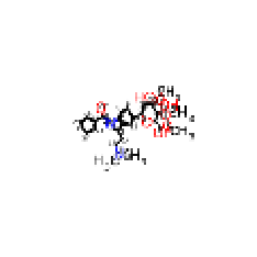 COC(O)[C@H]1OC(c2ccc3c(c2)c(CCN(C)C)cn3C(=O)c2ccccc2)=C[C@](O)(OC)[C@@]1(O)OC